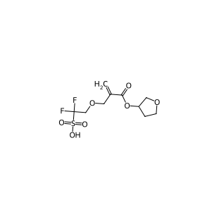 C=C(COCC(F)(F)S(=O)(=O)O)C(=O)OC1CCOC1